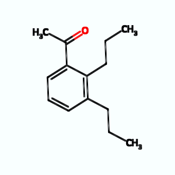 CCCc1cccc(C(C)=O)c1CCC